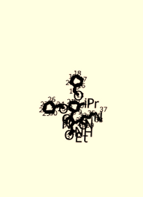 CCNC(=O)c1noc(-c2cc(C(C)C)c(OCc3ccccc3)cc2OCc2ccccc2)c1-c1cc(CN(C)C)no1